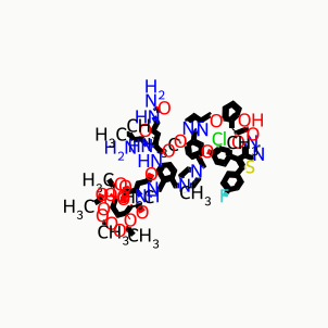 COc1ccccc1-c1nccc(COc2ccccc2C[C@@H](Oc2ncnc3sc(-c4ccc(F)cc4)c(-c4ccc(OCCN5CC[N+](C)(Cc6ccc(NC(=O)C(CCCNC(N)=O)NC(=O)C(N)C(C)C)cc6CN(C)C(=O)CC(NC(=O)[C@@H]6O[C@H](OC(C)=O)[C@@H](OC(C)=O)[C@H](OC(C)=O)[C@H]6OC(C)=O)C(=O)O)CC5)c(Cl)c4C)c23)C(=O)O)n1